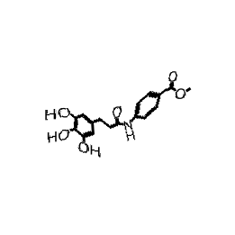 COC(=O)c1ccc(NC(=O)CCc2cc(O)c(O)c(O)c2)cc1